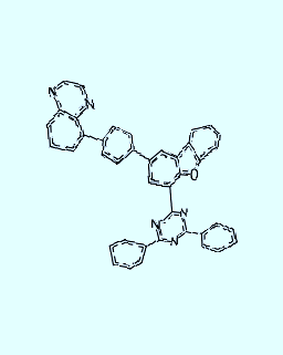 c1ccc(-c2nc(-c3ccccc3)nc(-c3cc(-c4ccc(-c5cccc6nccnc56)cc4)cc4c3oc3ccccc34)n2)cc1